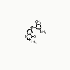 Cc1ccc(N)cc1Nc1ccc2ncn(C)c(=O)c2n1